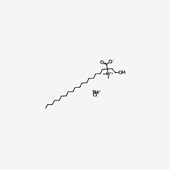 CCCCCCCCCCCCCCCCCCC(CCO)(C(=O)[O-])[N+](C)(C)C.[Cl-].[Na+]